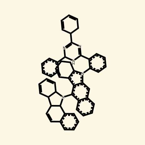 C1=CCC(C2=NC(c3ccccc3)NC(c3ccccc3-n3c4c(c5c(N6C7C=CC=CC7C7C=Cc8ccccc8C76)c6ccccc6cc53)C=CCC4)=N2)C=C1